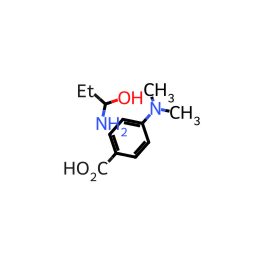 CCC(N)O.CN(C)c1ccc(C(=O)O)cc1